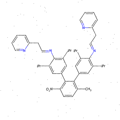 Cc1ccc([N+](=O)[O-])c(-c2cc(C(C)C)c(N=CCc3ccccn3)c(C(C)C)c2)c1-c1cc(C(C)C)c(N=CCc2ccccn2)c(C(C)C)c1